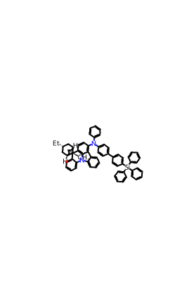 CC[C@@H]1C[C@H]2C[C@H](C)C[C@@H](C1)C21c2ccccc2-n2c3ccccc3c3c(N(c4ccccc4)c4ccc(-c5ccc([Si](c6ccccc6)(c6ccccc6)c6ccccc6)cc5)cc4)ccc1c32